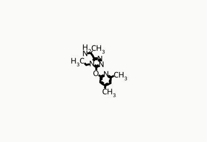 CCn1c(Oc2cc(C)cc(C)n2)nnc1[C@@H](C)N